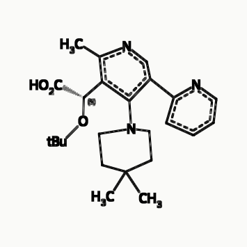 Cc1ncc(-c2ccccn2)c(N2CCC(C)(C)CC2)c1[C@H](OC(C)(C)C)C(=O)O